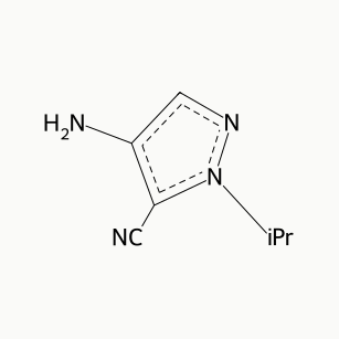 CC(C)n1ncc(N)c1C#N